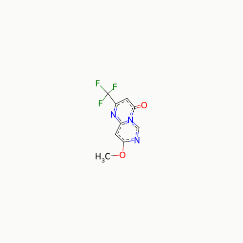 COc1cc2nc(C(F)(F)F)cc(=O)n2cn1